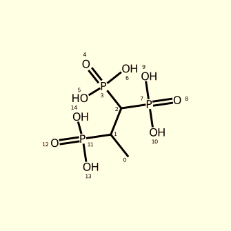 CC(C(P(=O)(O)O)P(=O)(O)O)P(=O)(O)O